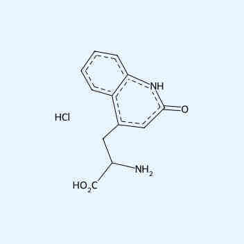 Cl.NC(Cc1cc(=O)[nH]c2ccccc12)C(=O)O